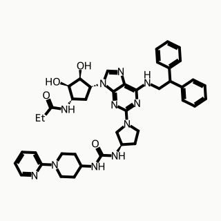 CCC(=O)N[C@H]1C[C@@H](n2cnc3c(NCC(c4ccccc4)c4ccccc4)nc(N4CC[C@@H](NC(=O)NC5CCN(c6ccccn6)CC5)C4)nc32)[C@H](O)[C@@H]1O